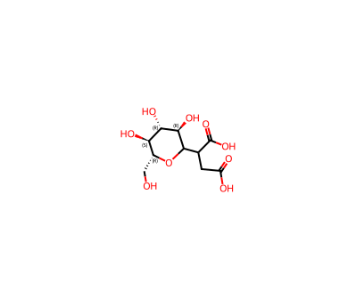 O=C(O)CC(C(=O)O)C1O[C@H](CO)[C@@H](O)[C@H](O)[C@H]1O